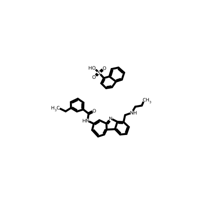 CCCNCc1cccc2c3cccc(NC(=O)c4cccc(CC)c4)cc-3nc12.O=S(=O)(O)c1cccc2ccccc12